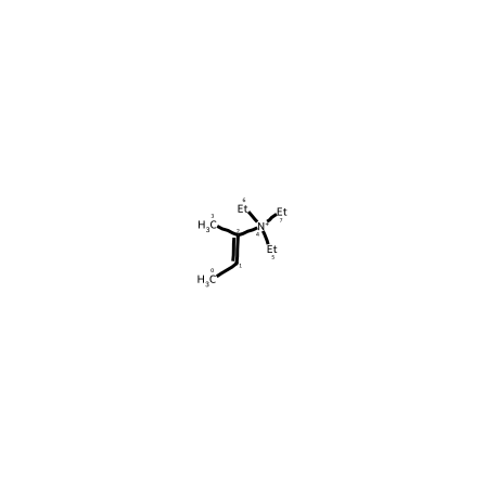 CC=C(C)[N+](CC)(CC)CC